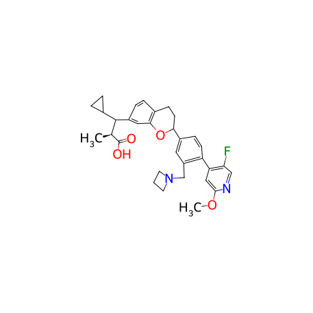 COc1cc(-c2ccc(C3CCc4ccc(C(C5CC5)[C@H](C)C(=O)O)cc4O3)cc2CN2CCC2)c(F)cn1